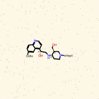 CCCCCCCN1CC[C@@H](NC[C@H](O)c2ccnc3ccc(OC)cc23)[C@@H](CO)C1